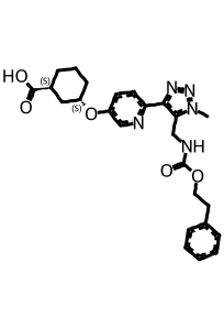 Cn1nnc(-c2ccc(O[C@H]3CCC[C@H](C(=O)O)C3)cn2)c1CNC(=O)OCCc1ccccc1